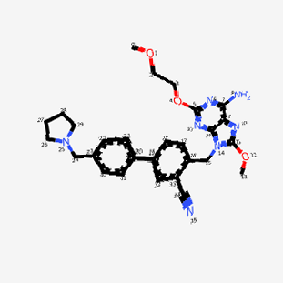 COCCOc1nc(N)c2nc(OC)n(Cc3ccc(-c4ccc(CN5CCCC5)cc4)cc3C#N)c2n1